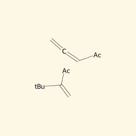 C=C(C(C)=O)C(C)(C)C.C=C=CC(C)=O